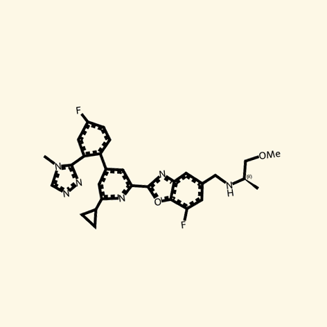 COC[C@@H](C)NCc1cc(F)c2oc(-c3cc(-c4ccc(F)cc4-c4nncn4C)cc(C4CC4)n3)nc2c1